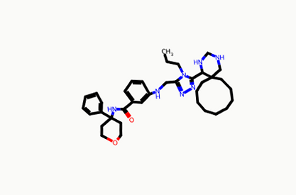 CCCn1c(CNc2cccc(C(=O)NC3(c4ccccc4)CCOCC3)c2)nnc1C1NCNCC12CCCCCCCCC2